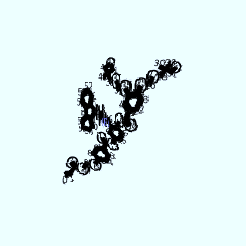 C=CC(=O)OCOc1ccc(C(=O)Oc2ccc(OC(=O)c3ccc(OCOCC4(C)COC4)c(OCOCC4(C)COC4)c3)c(/C=N/N=C3c4ccccc4-c4ccccc43)c2)cc1